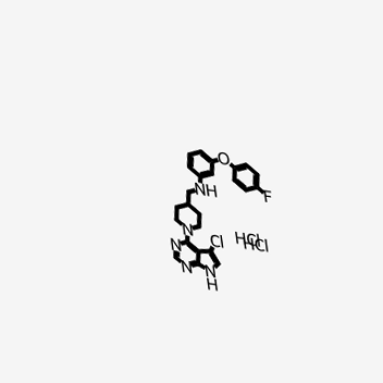 Cl.Cl.Fc1ccc(Oc2cccc(NCC3CCN(c4ncnc5[nH]cc(Cl)c45)CC3)c2)cc1